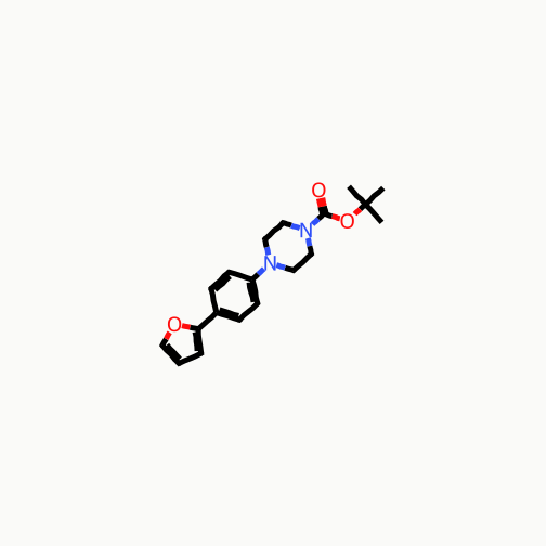 CC(C)(C)OC(=O)N1CCN(c2ccc(-c3ccco3)cc2)CC1